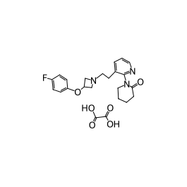 O=C(O)C(=O)O.O=C1CCCCN1c1ncccc1CCN1CC(Oc2ccc(F)cc2)C1